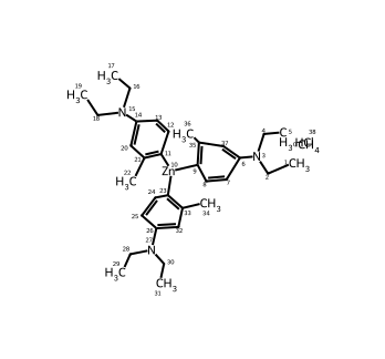 C.CCN(CC)c1cc[c]([Zn]([c]2ccc(N(CC)CC)cc2C)[c]2ccc(N(CC)CC)cc2C)c(C)c1.Cl